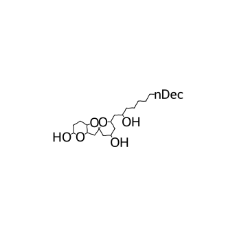 CCCCCCCCCCCCCCCC(O)CC1CC(O)CC2(CC3OC(O)CCC3O2)O1